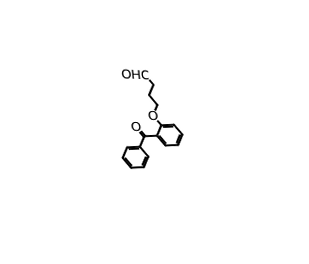 O=CCCCOc1ccccc1C(=O)c1ccccc1